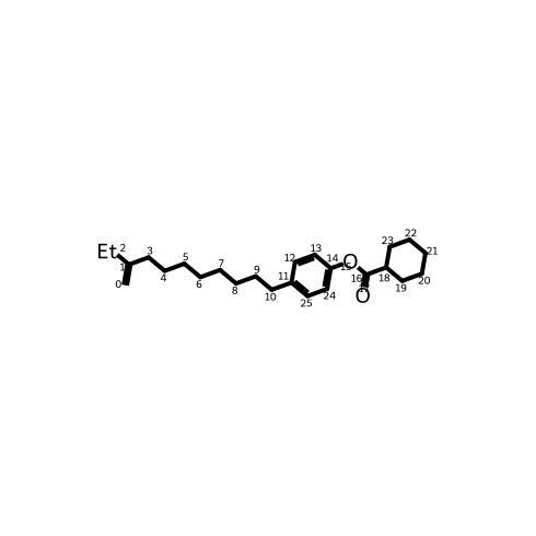 C=C(CC)CCCCCCCCc1ccc(OC(=O)C2CCCCC2)cc1